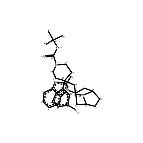 Cc1nc2ccccc2n1C1CC2CCC(C1)N2CCC1(c2cccc(Cl)c2)CCN(C(=O)OC(C)(C)C)CC1